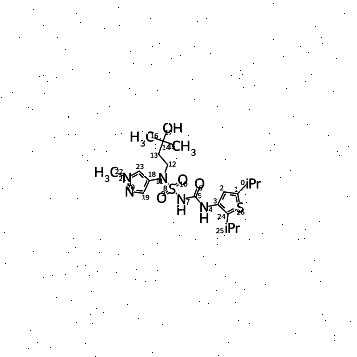 CC(C)c1cc(NC(=O)NS(=O)(=O)N(CCC(C)(C)O)c2cnn(C)c2)c(C(C)C)s1